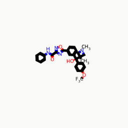 CN1CC(C)([C@](O)(c2ccc(OC(F)(F)F)cc2)c2cccc(-c3nc(C(=O)Nc4ccccc4)no3)c2)C1